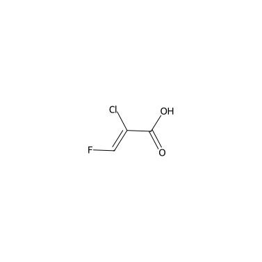 O=C(O)/C(Cl)=C/F